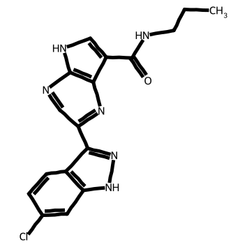 CCCNC(=O)c1c[nH]c2ncc(-c3n[nH]c4cc(Cl)ccc34)nc12